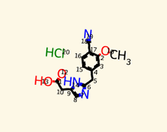 COc1cc(Cc2ncc(CC(=O)O)[nH]2)ccc1C#N.Cl